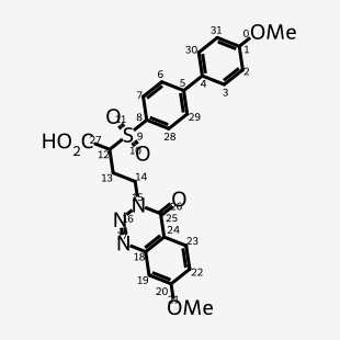 COc1ccc(-c2ccc(S(=O)(=O)C(CCn3nnc4cc(OC)ccc4c3=O)C(=O)O)cc2)cc1